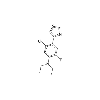 CCN(CC)c1cc(Cl)c(-c2cs[c]n2)cc1F